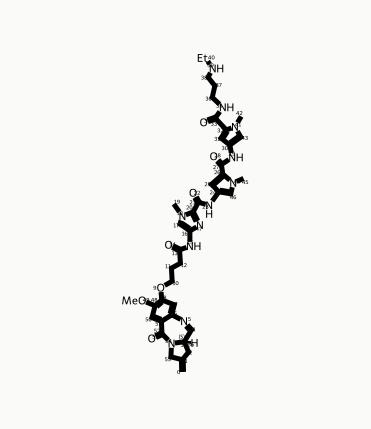 C=C1C[C@H]2C=Nc3cc(OCCCC(=O)Nc4cn(C)c(C(=O)Nc5cc(C(=O)Nc6cc(C(=O)NCCCNCC)n(C)c6)n(C)c5)n4)c(OC)cc3C(=O)N2C1